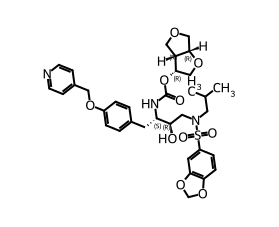 CC(C)CN(C[C@@H](O)[C@H](Cc1ccc(OCc2ccncc2)cc1)NC(=O)O[C@H]1CO[C@H]2COC[C@H]21)S(=O)(=O)c1ccc2c(c1)OCO2